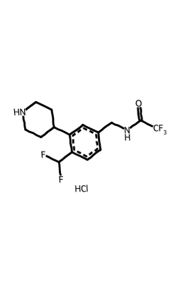 Cl.O=C(NCc1ccc(C(F)F)c(C2CCNCC2)c1)C(F)(F)F